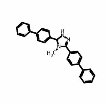 CN1C(c2ccc(-c3ccccc3)cc2)=NNC1c1ccc(-c2ccccc2)cc1